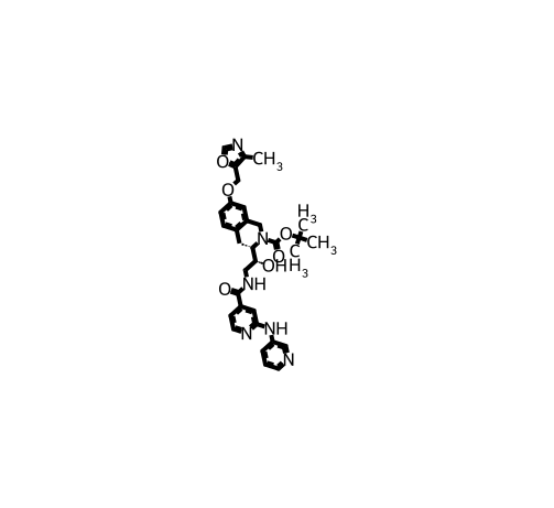 Cc1ncoc1COc1ccc2c(c1)CN(C(=O)OC(C)(C)C)[C@H]([C@H](O)CNC(=O)c1ccnc(Nc3cccnc3)c1)C2